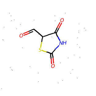 O=CC1SC(=O)NC1=O